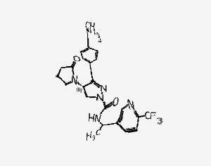 Cc1ccc(C2=NN(C(=O)NC(C)c3ccc(C(F)(F)F)nc3)C[C@H]2N2CCCC2=O)cc1